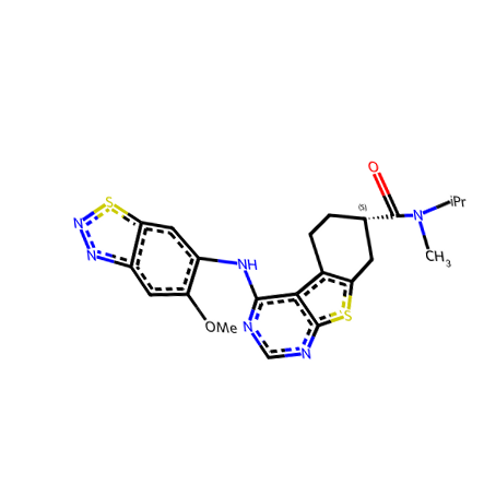 COc1cc2nnsc2cc1Nc1ncnc2sc3c(c12)CC[C@H](C(=O)N(C)C(C)C)C3